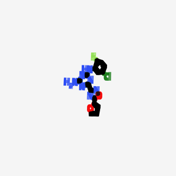 Nc1nc(Nc2cc(Cl)ccc2F)nc(-c2noc(-c3ccco3)n2)n1